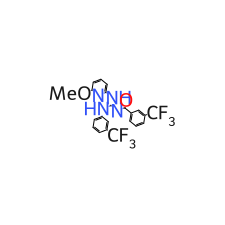 COc1cccc(N/C(=N\C(=O)c2cccc(C(F)(F)F)c2)Nc2cccc(C(F)(F)F)c2)n1